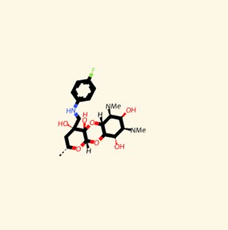 CN[C@@H]1[C@H](O)[C@H](NC)[C@H]2O[C@]3(O)[C@H](OC2[C@H]1O)O[C@H](C)C[C@@]3(O)CNc1ccc(F)cc1